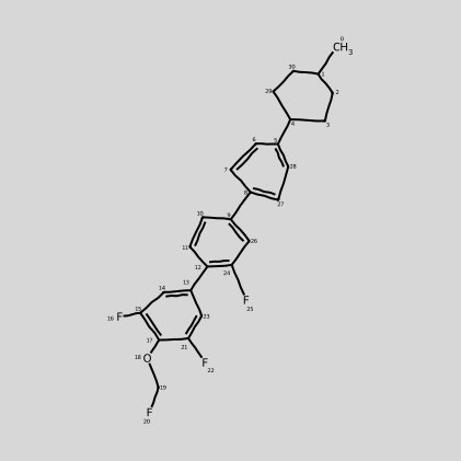 CC1CCC(c2ccc(-c3ccc(-c4cc(F)c(OCF)c(F)c4)c(F)c3)cc2)CC1